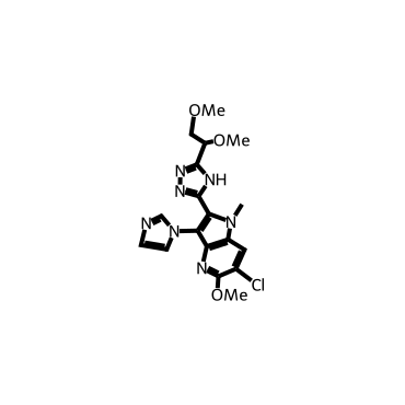 COCC(OC)c1nnc(-c2c(-n3ccnc3)c3nc(OC)c(Cl)cc3n2C)[nH]1